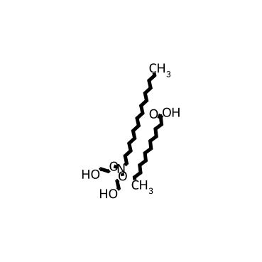 CCCCCCCCCCCC(=O)O.CCCCCCCCCCCCCCCCN(OCCO)OCCO